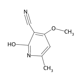 COc1cc(C)nc(O)c1C#N